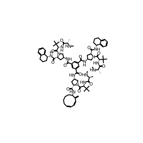 C=C1/C=C\C=C/CCCC[C@H]1NC(=O)[C@@H]1C[C@H](NC(=O)c2cc(C(=O)N[C@H]3C[C@@H](C(=O)N[C@@H]4CCCc5ccccc54)N(C(=O)[C@@H](NC(=O)[C@H](C)NC)C(C)(C)C)C3)cc(C(=O)N[C@H]3C[C@@H](C(=O)N[C@@H]4CCCc5ccccc54)N(C(=O)[C@@H](NC(=O)[C@H](C)NC)C(C)(C)C)C3)c2)CN1C(=O)[C@@H](NC(=O)[C@H](C)NC)C(C)(C)C